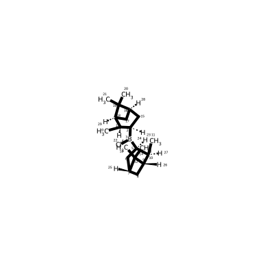 C[C@@H]1[C@H](B(Cl)[C@@H]2C[C@H]3C[C@@H]([C@@H]2C)C3(C)C)C[C@H]2C[C@@H]1C2(C)C